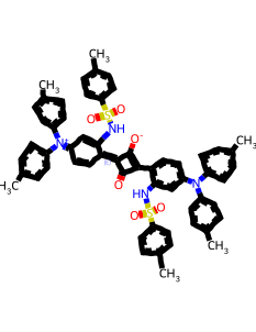 Cc1ccc(N(c2ccc(C)cc2)c2ccc(C3=C([O-])/C(=C4/C=CC(=[N+](c5ccc(C)cc5)c5ccc(C)cc5)C=C4NS(=O)(=O)c4ccc(C)cc4)C3=O)c(NS(=O)(=O)c3ccc(C)cc3)c2)cc1